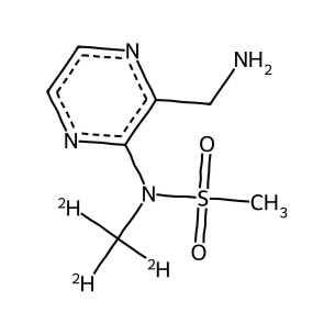 [2H]C([2H])([2H])N(c1nccnc1CN)S(C)(=O)=O